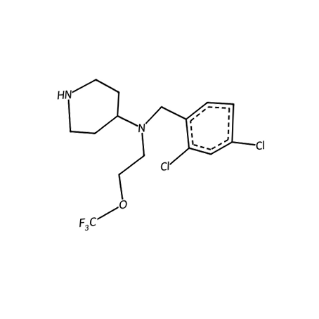 FC(F)(F)OCCN(Cc1ccc(Cl)cc1Cl)C1CCNCC1